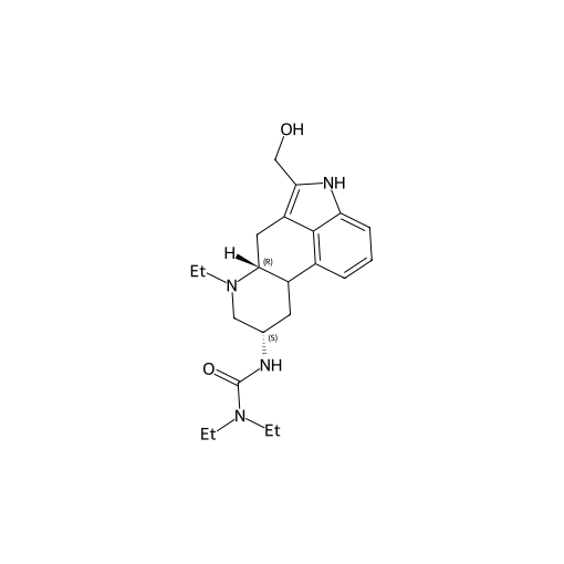 CCN(CC)C(=O)N[C@H]1CC2c3cccc4[nH]c(CO)c(c34)C[C@H]2N(CC)C1